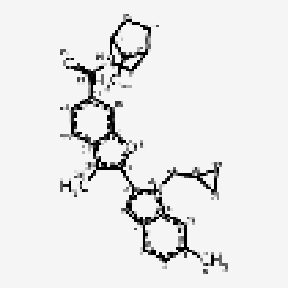 Cc1ccc2cc(-c3oc4cc(C(=O)N5CC6CCC5C6C)ccc4c3C)n(CC3CC3)c2c1